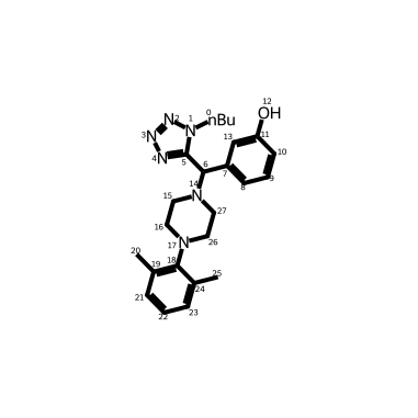 CCCCn1nnnc1C(c1cccc(O)c1)N1CCN(c2c(C)cccc2C)CC1